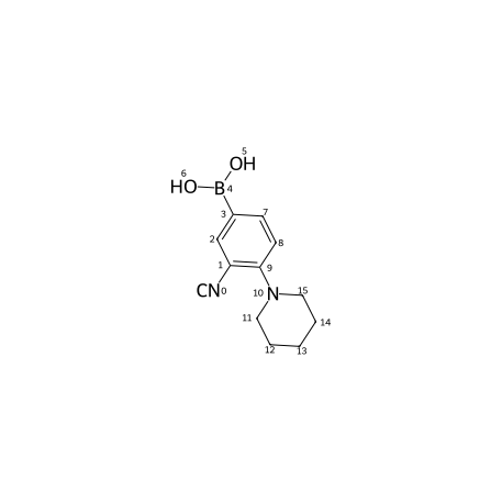 [C-]#[N+]c1cc(B(O)O)ccc1N1CCCCC1